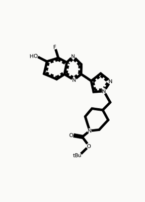 CC(C)(C)OC(=O)N1CCC(Cn2cc(-c3cnc4c(F)c(O)ccc4n3)cn2)CC1